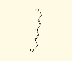 FC(F)(F)CC=COC=CCC(F)(F)F